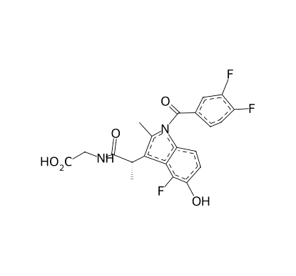 Cc1c([C@H](C)C(=O)NCC(=O)O)c2c(F)c(O)ccc2n1C(=O)c1ccc(F)c(F)c1